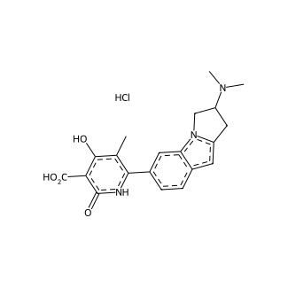 Cc1c(-c2ccc3cc4n(c3c2)CC(N(C)C)C4)[nH]c(=O)c(C(=O)O)c1O.Cl